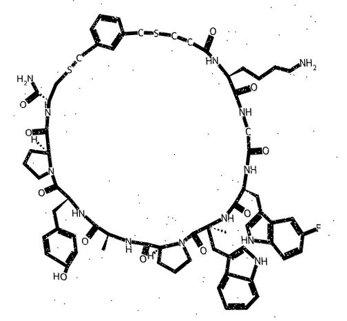 C[C@@H]1NC(=O)[C@@H]2CCCN2C(=O)[C@](C)(Cc2c[nH]c3ccccc23)NC(=O)[C@H](Cc2c[nH]c3ccc(F)cc23)NC(=O)CNC(=O)[C@H](CCCCN)NC(=O)CCSCc2cccc(c2)CSC[C@@H](C(N)=O)NC(=O)[C@@H]2CCCN2C(=O)[C@H](Cc2ccc(O)cc2)NC1=O